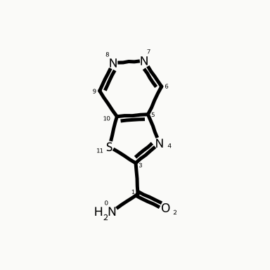 NC(=O)c1nc2cnncc2s1